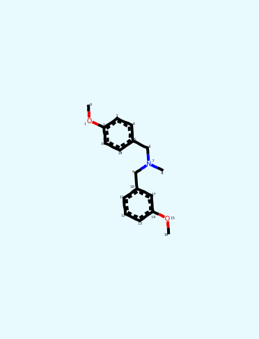 COc1ccc(CN(C)Cc2cccc(OC)c2)cc1